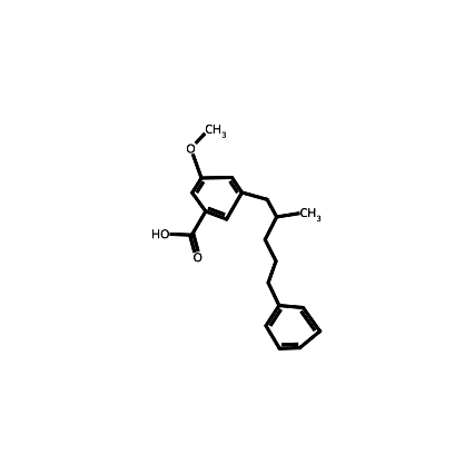 COc1cc(CC(C)CCCc2ccccc2)cc(C(=O)O)c1